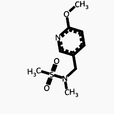 COc1ccc(CN(C)S(C)(=O)=O)cn1